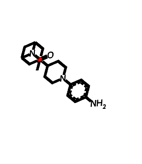 CC(=O)N1C2CC1CN(C1CCN(c3ccc(N)cc3)CC1)C2